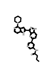 CCCC(=O)Nc1cncc(-c2ccc3[nH]nc(-c4cc5c(N6CCCCC6)nccc5[nH]4)c3n2)c1